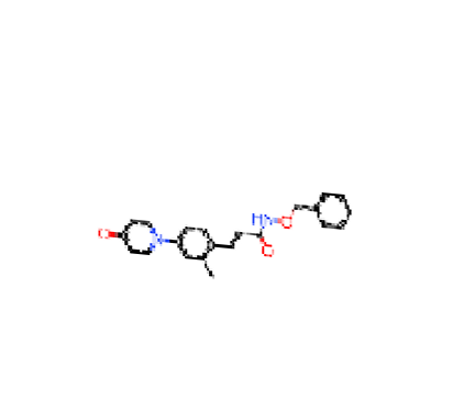 Cc1cc(-n2ccc(=O)cc2)ccc1C=CC(=O)NOCc1ccccc1